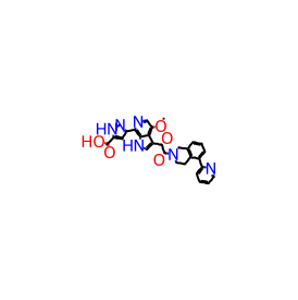 COc1cnc(-c2cc(C(=O)O)[nH]n2)c2[nH]cc(C(=O)C(=O)N3CCc4c(cccc4-c4ccccn4)C3)c12